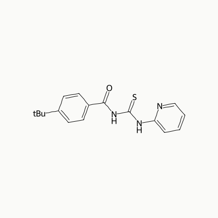 CC(C)(C)c1ccc(C(=O)NC(=S)Nc2ccccn2)cc1